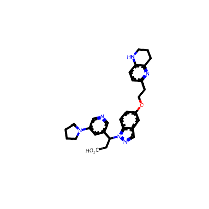 O=C(O)CC(c1cncc(N2CCCC2)c1)n1ncc2cc(OCCc3ccc4c(n3)CCCN4)ccc21